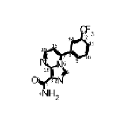 NC(=O)c1ncn2c(-c3cccc(C(F)(F)F)c3)ccnc12